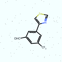 O=Cc1cc(-c2cscn2)cc(C(F)(F)F)c1